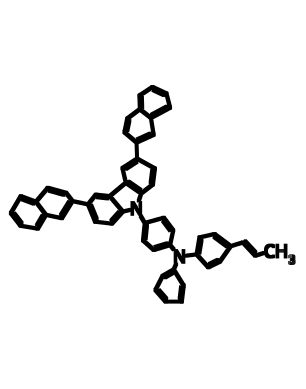 C/C=C/c1ccc(N(c2ccccc2)c2ccc(-n3c4ccc(-c5ccc6ccccc6c5)cc4c4cc(-c5ccc6ccccc6c5)ccc43)cc2)cc1